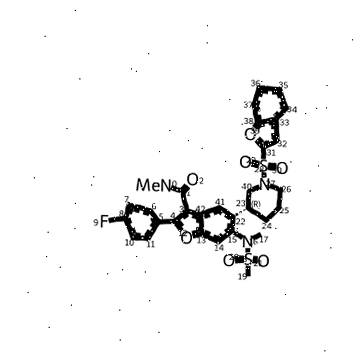 CNC(=O)c1c(-c2ccc(F)cc2)oc2cc(N(C)S(C)(=O)=O)c([C@H]3CCCN(S(=O)(=O)c4cc5ccccc5o4)C3)cc12